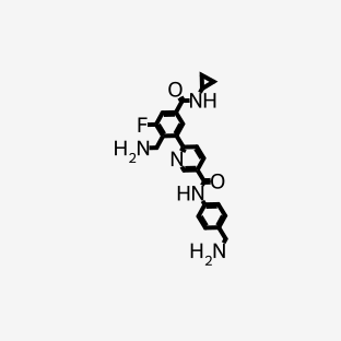 NCc1ccc(NC(=O)c2ccc(-c3cc(C(=O)NC4CC4)cc(F)c3CN)nc2)cc1